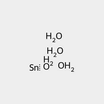 O.O.O.O.[Sn]